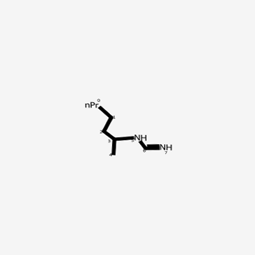 CCCCCC(C)NC=N